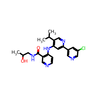 CC(O)CNC(=O)c1cnccc1Nc1cc(-c2cncc(Cl)c2)ncc1C(C)C